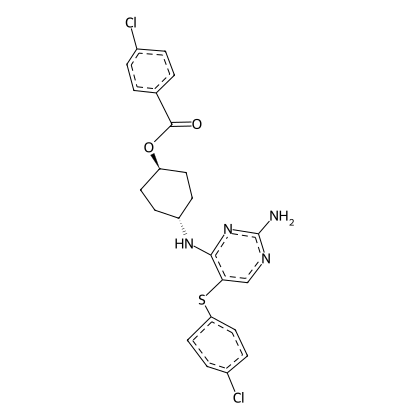 Nc1ncc(Sc2ccc(Cl)cc2)c(N[C@H]2CC[C@H](OC(=O)c3ccc(Cl)cc3)CC2)n1